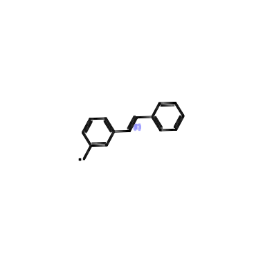 [CH2]c1cccc(/C=C/c2ccccc2)c1